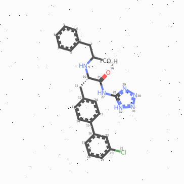 O=C(O)C(Cc1ccccc1)N[C@@H](Cc1ccc(-c2cccc(Cl)c2)cc1)C(=O)Nc1nnn[nH]1